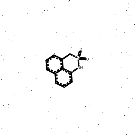 O=S1(=O)Cc2cccc3cccc(c23)N1